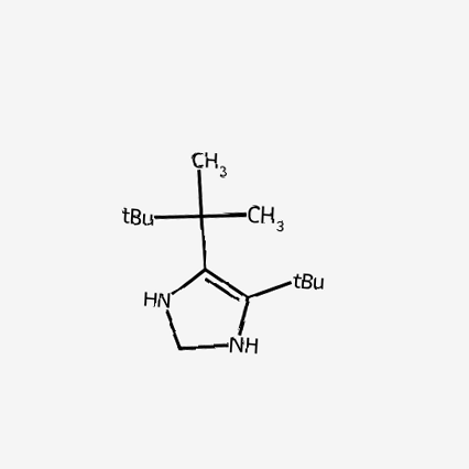 CC(C)(C)C1=C(C(C)(C)C(C)(C)C)NCN1